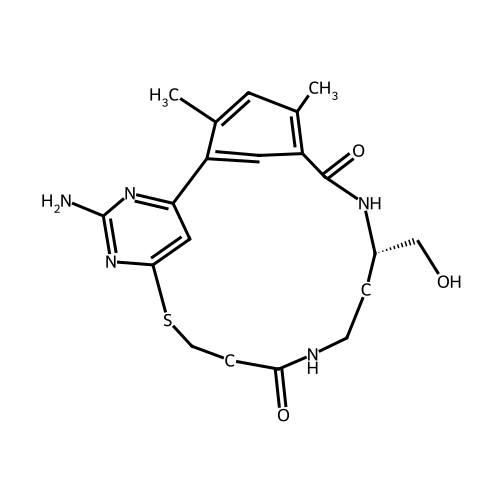 Cc1cc(C)c2cc1C(=O)N[C@H](CO)CCNC(=O)CCSc1cc-2nc(N)n1